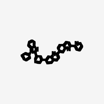 c1ccc(-n2c(-c3cccc(-c4ccc5ccc(-c6ccc7ccc(-c8ccccn8)nc7c6)nc5c4)c3)nc3ccccc32)cc1